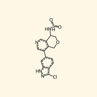 O=[SH](=O)NC1COCc2c(-c3ccc4c(Cl)n[nH]c4c3)cncc21